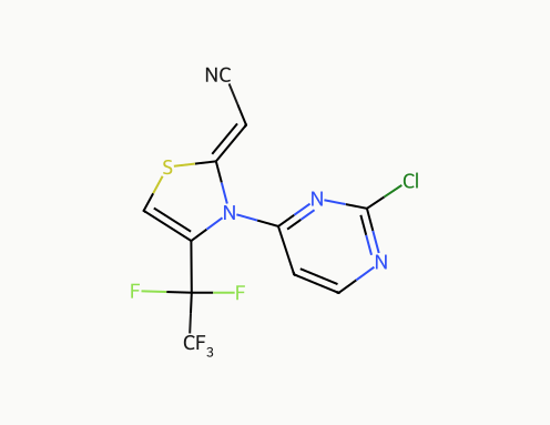 N#CC=C1SC=C(C(F)(F)C(F)(F)F)N1c1ccnc(Cl)n1